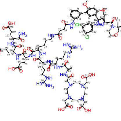 COc1cc2c(cc1-c1cccc(NC(=O)CCC(=O)NCCCC[C@@H](NC(=O)[C@@H](CCCNC(=N)N)NC(=O)[C@@H](CCCNC(=N)N)NC(=O)[C@@H](C)NC(=O)CN3CCN(CC(=O)O)CCN(CC(=O)O)CCN(CC(=O)O)CC3)C(=O)N[C@H](CCC(=O)O)C(=O)N[C@H](CCC(=O)O)C(=O)N[C@H](CCC(=O)O)C(N)=O)c1)-c1c(c(C(=O)N3CCOCC3(C)C)nn1-c1cc(Cl)cc(Cl)c1)CO2